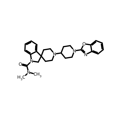 CN(C)C(=O)N1CC2(CCN(C3CCN(c4nc5ccccc5o4)CC3)CC2)c2ccccc21